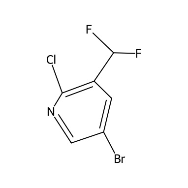 FC(F)c1cc(Br)cnc1Cl